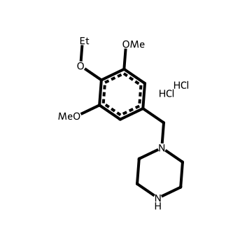 CCOc1c(OC)cc(CN2CCNCC2)cc1OC.Cl.Cl